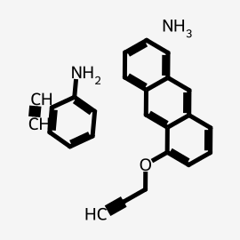 C#C.C#CCOc1cccc2cc3ccccc3cc12.N.Nc1ccccc1